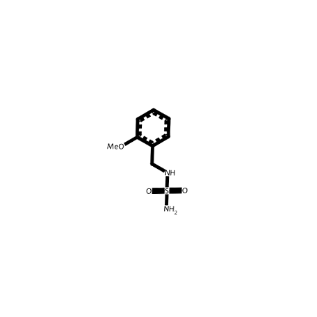 COc1ccccc1CNS(N)(=O)=O